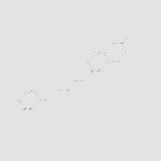 O=C1CCc2cc(OCC(O)CSc3ccccc3)ccc2N1